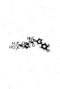 CN(C(=O)Nc1ncc(SC(C)(C)C(=O)O)s1)C1CCC(c2ccc(Br)c(F)c2)C1